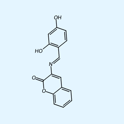 O=c1oc2ccccc2cc1N=Cc1ccc(O)cc1O